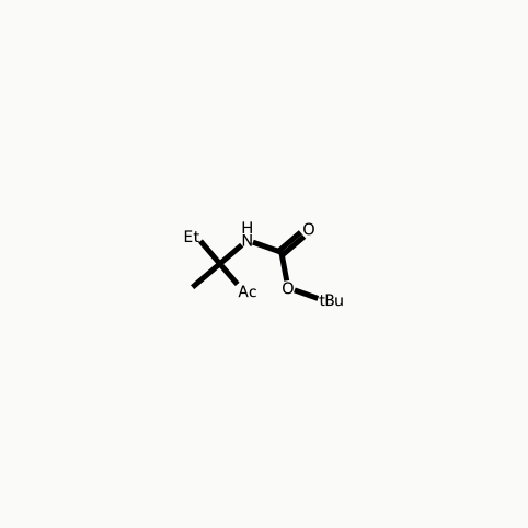 CCC(C)(NC(=O)OC(C)(C)C)C(C)=O